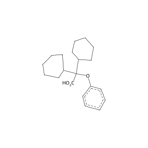 O=C(O)C(Oc1ccccc1)(C1CCCCC1)C1CCCCC1